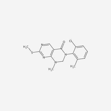 CSc1ncc2c(n1)N(C)CN(c1c(C)cccc1Cl)C2=O